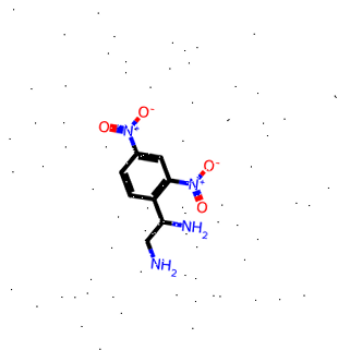 NCC(N)c1ccc([N+](=O)[O-])cc1[N+](=O)[O-]